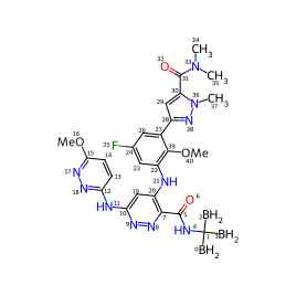 BC(B)(B)NC(=O)c1nnc(Nc2ccc(OC)nn2)cc1Nc1cc(F)cc(-c2cc(C(=O)N(C)C)n(C)n2)c1OC